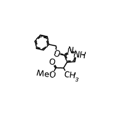 COC(=O)C(C)c1c[nH]nc1OCc1ccccc1